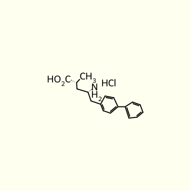 C[C@H](C[C@H](N)Cc1ccc(-c2ccccc2)cc1)C(=O)O.Cl